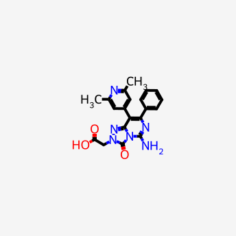 Cc1cc(-c2c(-c3ccccc3)nc(N)n3c(=O)n(CC(=O)O)nc23)cc(C)n1